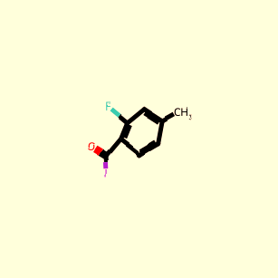 Cc1ccc(C(=O)I)c(F)c1